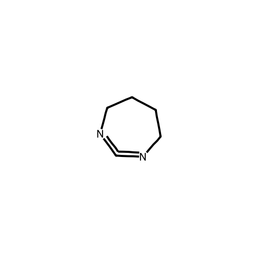 C1=NCCCCN=1